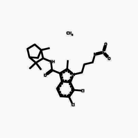 C.Cc1c(C(=O)NC2C3(C)CCC(C3)C2(C)C)c2ccc(Cl)c(Cl)c2n1CCCN=S(=O)=O